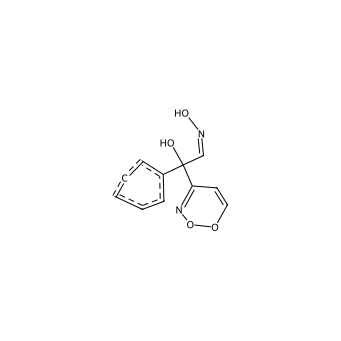 O/N=C\C(O)(C1=NOOC=C1)c1ccccc1